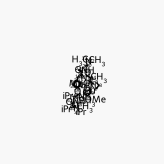 CC[C@H](C)C([C@@H](CC(=O)N1CCC[C@H]1[C@H](OC)[C@@H](C)C(=O)N[C@@H](Cc1ccccc1)C(=O)NCCN(C)C)OC)N(C)C(=O)[C@@H](NC(=O)[C@H](C(C)C)N(C)C(C)C)C(C)C